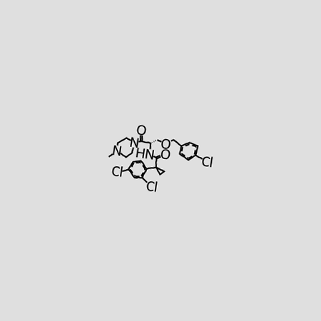 CN1CCN(C(=O)[C@H](COCc2ccc(Cl)cc2)NC(=O)C2(c3ccc(Cl)cc3Cl)CC2)CC1